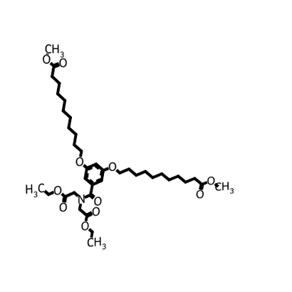 CCOC(=O)CN(CC(=O)OCC)C(=O)c1cc(OCCCCCCCCCCC(=O)OC)cc(OCCCCCCCCCCC(=O)OC)c1